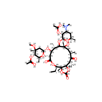 CC[C@H]1OC(=O)[C@H](C)[C@@H](O[C@H]2C[C@@](C)(OC)[C@@H](OC(C)=O)[C@H](C)O2)[C@H](C)C(O[C@@H]2O[C@H](C)C[C@H](N(C)C)[C@H]2OC(C)=O)[C@](C)(OC)C[C@@H](C)C(=O)[C@H](C)[C@H]2OC(=O)O[C@@]21C